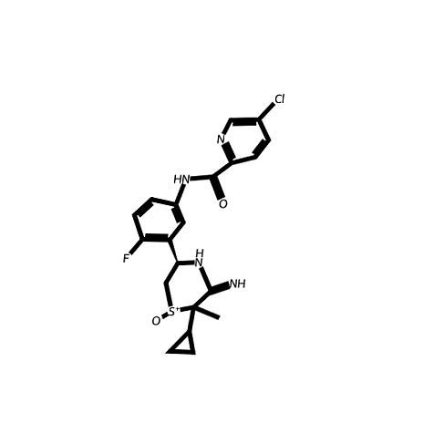 CC1(C2CC2)C(=N)N[C@H](c2cc(NC(=O)c3ccc(Cl)cn3)ccc2F)C[S+]1[O-]